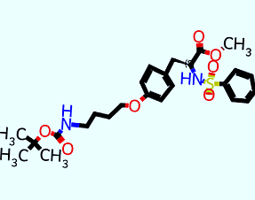 COC(=O)[C@H](Cc1ccc(OCCCCNC(=O)OC(C)(C)C)cc1)NS(=O)(=O)c1ccccc1